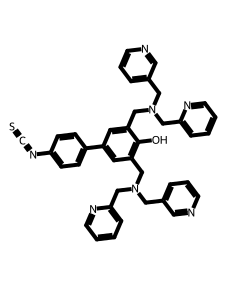 Oc1c(CN(Cc2cccnc2)Cc2ccccn2)cc(-c2ccc(N=C=S)cc2)cc1CN(Cc1cccnc1)Cc1ccccn1